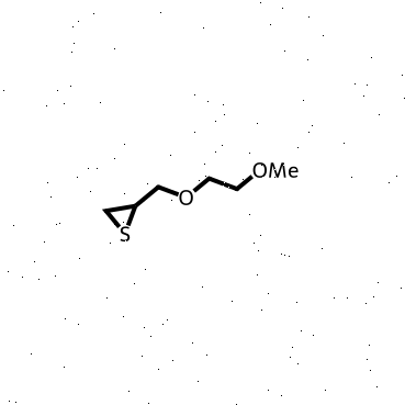 COCCOCC1CS1